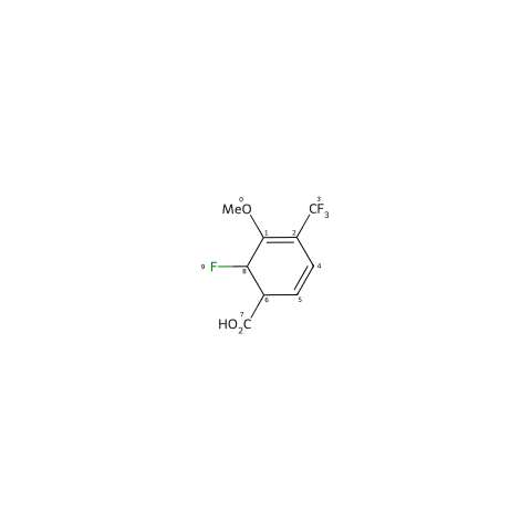 COC1=C(C(F)(F)F)C=CC(C(=O)O)C1F